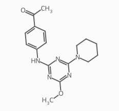 COc1nc(Nc2ccc(C(C)=O)cc2)nc(N2CCCCC2)n1